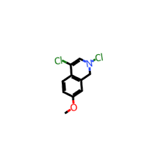 COc1ccc2c(c1)CN(Cl)C=C2Cl